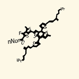 CCCCCCCCCC(=O)c1sc2c(-c3cc4c(-c5ccc(CCC(C)CCCC(C)C)s5)c5sc(C)cc5c(-c5ccc(CCC(C)CCCC(C)C)s5)c4s3)sc(C)c2c1F